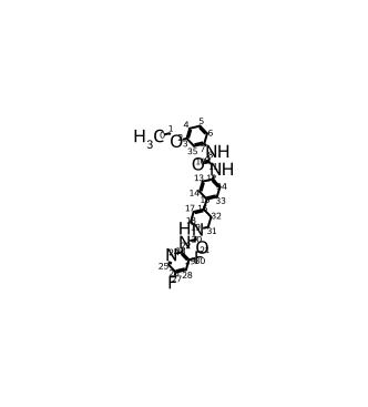 CCOc1cccc(NC(=O)Nc2ccc(C3=CCN(C(=O)Nc4ncc(F)cc4F)CC3)cc2)c1